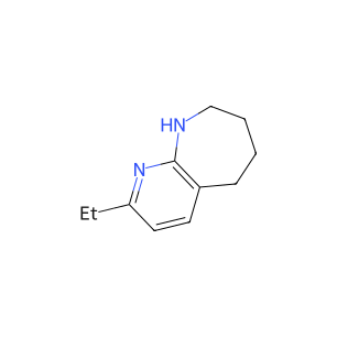 CCc1ccc2c(n1)NCCCC2